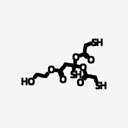 O=C(CC(S)(OC(=O)CS)OC(=O)CS)OCCO